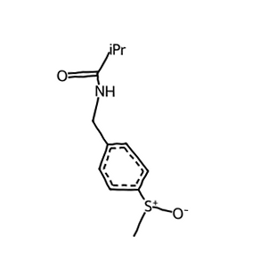 CC(C)C(=O)NCc1ccc([S+](C)[O-])cc1